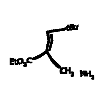 CCOC(=O)C(C)=CC(C)(C)C.N